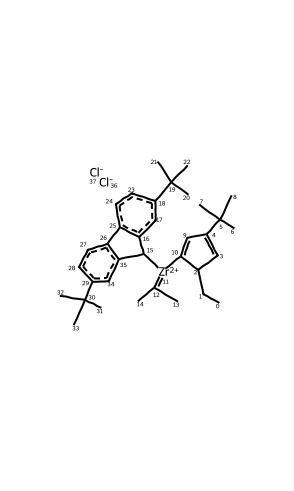 CCC1C=C(C(C)(C)C)C=[C]1[Zr+2](=[C](C)C)[CH]1c2cc(C(C)(C)C)ccc2-c2ccc(C(C)(C)C)cc21.[Cl-].[Cl-]